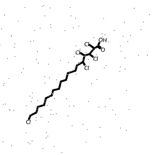 O=C(O)C(Cl)C(Cl)C(Cl)C(Cl)CCCCCCCCCCCCCCl